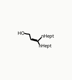 CCCCCCCC(=CCO)CCCCCCC